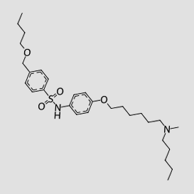 CCCCCN(C)CCCCCCOc1ccc(NS(=O)(=O)c2ccc(COCCCC)cc2)cc1